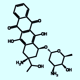 CC(O)[C@]1(N)Cc2c(O)c3c(c(O)c2[C@@H](O[C@H]2C[C@H](N)[C@H](O)[C@H](C)O2)C1)C(=O)c1ccccc1C3=O